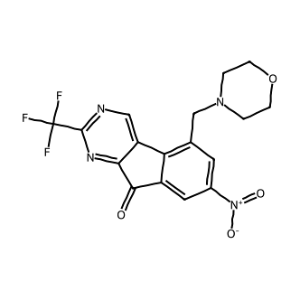 O=C1c2cc([N+](=O)[O-])cc(CN3CCOCC3)c2-c2cnc(C(F)(F)F)nc21